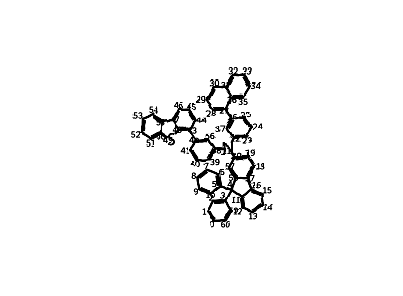 c1ccc(C2(c3ccccc3)c3ccccc3-c3ccc(N(c4cccc(-c5cccc6ccccc56)c4)c4cccc(-c5cccc6c5sc5ccccc56)c4)cc32)cc1